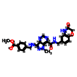 COC(=O)c1ccc(CNc2nn(C)c3c(C(=O)NCc4ccc5c(c4)NC(=O)CO5)ncnc23)cc1